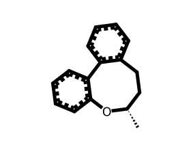 C[C@H]1CCc2ccccc2-c2ccccc2O1